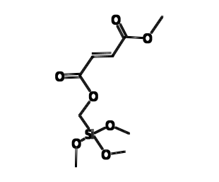 COC(=O)C=CC(=O)OC[Si](OC)(OC)OC